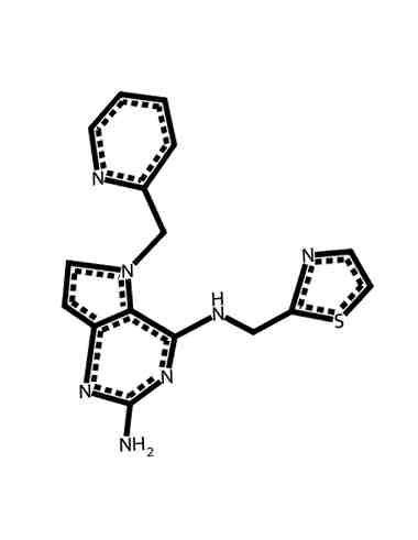 Nc1nc(NCc2nccs2)c2c(ccn2Cc2ccccn2)n1